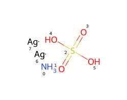 N.O=S(=O)(O)O.[Ag].[Ag]